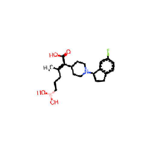 C/C(CCCB(O)O)=C(\C(=O)O)C1CCN(C2CCc3ccc(F)cc32)CC1